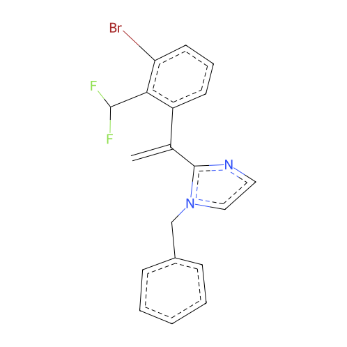 C=C(c1cccc(Br)c1C(F)F)c1nccn1Cc1ccccc1